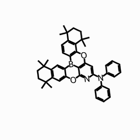 CC1(C)CCC(C)(C)c2cc3c(cc21)Oc1nc(N(c2ccccc2)c2ccccc2)cc2c1B3c1ccc3c(c1O2)C(C)(C)CCC3(C)C